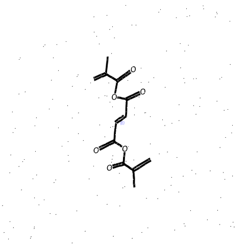 C=C(C)C(=O)OC(=O)/C=C/C(=O)OC(=O)C(=C)C